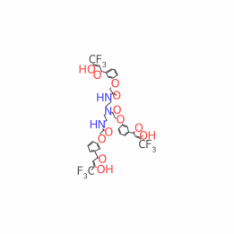 O=C(COc1cccc(C(=O)/C=C(\O)C(F)(F)F)c1)NCCN(CCNC(=O)COc1cccc(C(=O)/C=C(\O)C(F)(F)F)c1)C(=O)COc1cccc(C(=O)/C=C(\O)C(F)(F)F)c1